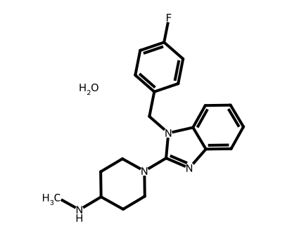 CNC1CCN(c2nc3ccccc3n2Cc2ccc(F)cc2)CC1.O